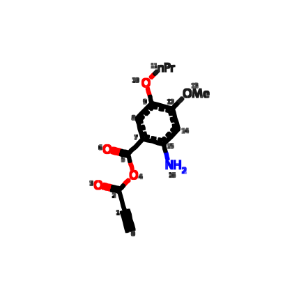 C#CC(=O)OC(=O)c1cc(OCCC)c(OC)cc1N